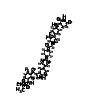 CCN(C)S(=O)(=O)Nc1ccc(F)c(C(=O)c2c[nH]c3ncc(-c4cnc(N5CCN(C(=O)CN6CCC(c7ccc(NC8CCC(=O)NC8=O)cc7)C(F)(F)C6)CC5)nc4)cc23)c1F